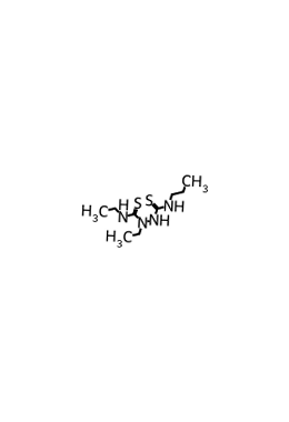 CCCNC(=S)NN(CC)C(=S)NCC